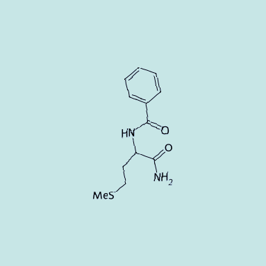 CSCCC(NC(=O)c1ccccc1)C(N)=O